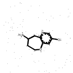 NC1CCOc2cc(Cl)cnc2C1